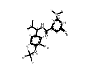 CC(C)C(NC(=O)c1cc(=O)[nH]c(N(C)C)n1)c1ccc(OC(F)(F)F)c(F)c1